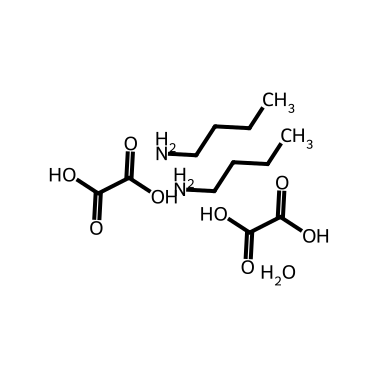 CCCCN.CCCCN.O.O=C(O)C(=O)O.O=C(O)C(=O)O